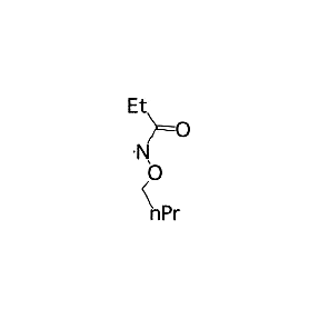 CCCCO[N]C(=O)CC